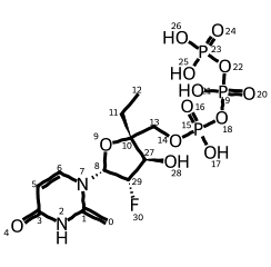 C=C1NC(=O)C=CN1[C@@H]1O[C@](CC)(COP(=O)(O)OP(=O)(O)OP(=O)(O)O)[C@@H](O)[C@@H]1F